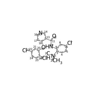 CN(C)c1ccc(Cl)cc1NC(=O)c1cnccc1Oc1cc(Cl)ccc1Cl